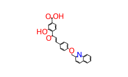 O=C(O)c1ccc(C(=O)C=Cc2ccc(OCc3ccc4ccccc4n3)cc2)c(O)c1